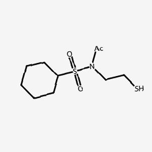 CC(=O)N(CCS)S(=O)(=O)C1CCCCC1